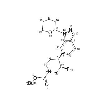 CC(C)(C)OC(=O)N1CC[C@@H](c2ccc3cnn(C4CCCCO4)c3c2)[C@@H](F)C1